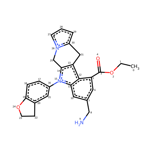 CCOC(=O)c1cc(CN)cc2c1c1c(n2-c2ccc3c(c2)CCO3)Cn2cccc2C1